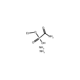 CCOP(=O)(O)C(N)=O.N.N